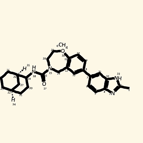 C.Cc1nc2ccc(-c3ccc4c(c3)CN(C(=O)NC3CC[C@H]5CCC[C@@H]3C5)CCO4)cc2[nH]1